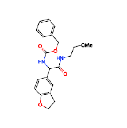 COCCNC(=O)C(NC(=O)OCc1ccccc1)c1ccc2c(c1)CCO2